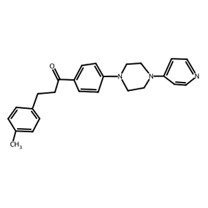 Cc1ccc(CCC(=O)c2ccc(N3CCN(c4ccncc4)CC3)cc2)cc1